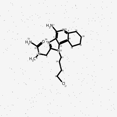 CN(Cc1nc2c(N)nc3c(c2n1CCCCCl)CCCC3)C(N)=O